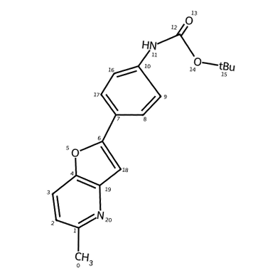 Cc1ccc2oc(-c3ccc(NC(=O)OC(C)(C)C)cc3)cc2n1